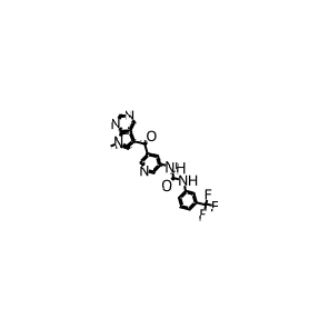 Cn1cc(C(=O)c2cncc(NC(=O)Nc3cccc(C(F)(F)F)c3)c2)c2cncnc21